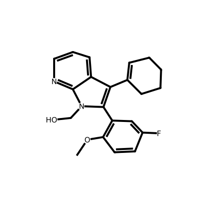 COc1ccc(F)cc1-c1c(C2=CCCCC2)c2cccnc2n1CO